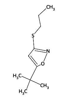 CCCSc1cc(C(C)(C)C)on1